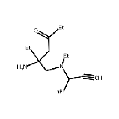 C#CC(CCC)N(CC)CC(N)(CC)CC(=O)CC